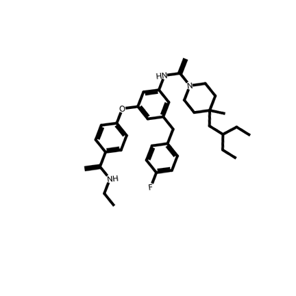 C=C(NCC)c1ccc(Oc2cc(Cc3ccc(F)cc3)cc(NC(=C)N3CCC(C)(CC(CC)CC)CC3)c2)cc1